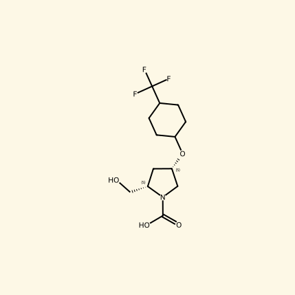 O=C(O)N1C[C@@H](OC2CCC(C(F)(F)F)CC2)C[C@H]1CO